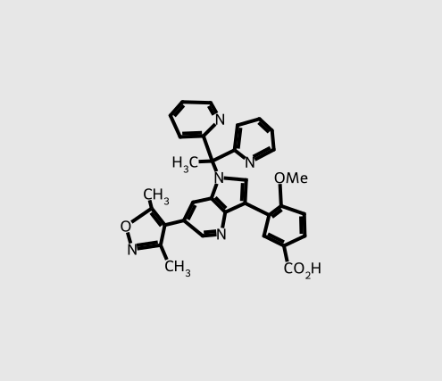 COc1ccc(C(=O)O)cc1-c1cn(C(C)(c2ccccn2)c2ccccn2)c2cc(-c3c(C)noc3C)cnc12